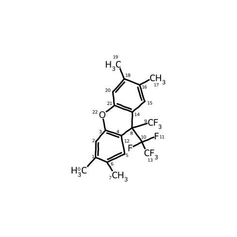 Cc1cc2c(cc1C)C(C(F)(F)F)(C(F)(F)C(F)(F)F)c1cc(C)c(C)cc1O2